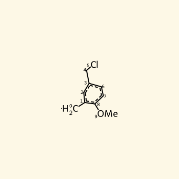 [CH2]c1cc(CCl)ccc1OC